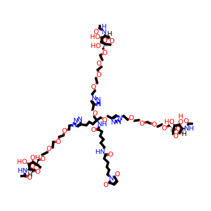 CC(=O)N[C@H]1[C@H]2OC[C@](COCCOCCOCCOCCn3cc(CCCC(COCc4cn(CCOCCOCCOCCOC[C@@]56CO[C@@H](O5)[C@H](NC(C)=O)[C@@H](O)[C@H]6O)nn4)(COCc4cn(CCOCCOCCOCCOC[C@@]56CO[C@@H](O5)[C@H](NC(C)=O)[C@@H](O)[C@H]6O)nn4)NC(=O)CCCCCNC(=O)CCCCCN4C(=O)C=CC4=O)nn3)(O2)[C@H](O)[C@@H]1O